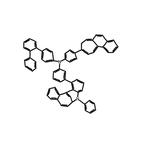 C1=CC2C=C(c3ccccc31)c1c(-c3cccc(N(c4ccc(C5=CC=c6c(ccc7ccccc67)=CC5)cc4)c4ccc(-c5ccccc5-c5ccccc5)cc4)c3)cccc1N2c1ccccc1